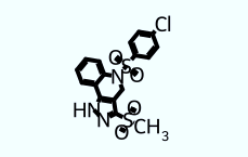 CS(=O)(=O)c1n[nH]c2c1CN(S(=O)(=O)c1ccc(Cl)cc1)c1ccccc1-2